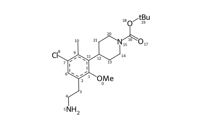 COc1c(CCN)cc(Cl)c(C)c1C1CCN(C(=O)OC(C)(C)C)CC1